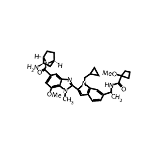 COc1cc(C(=O)N2[C@H]3CC[C@@H]2[C@H](N)C3)cc2nc(-c3cc4ccc([C@@H](C)NC(=O)C5(OC)CCC5)cc4n3CC3CC3)n(C)c12